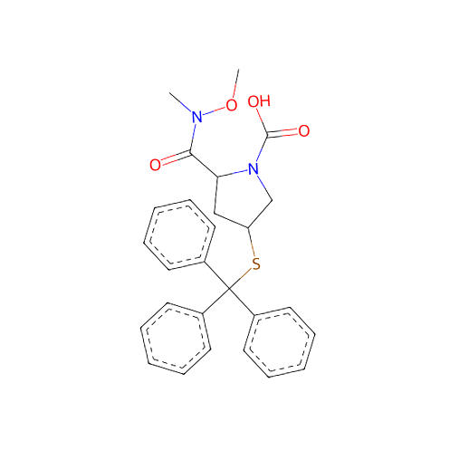 CON(C)C(=O)C1CC(SC(c2ccccc2)(c2ccccc2)c2ccccc2)CN1C(=O)O